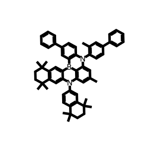 Cc1cc2c3c(c1)N(c1ccc(-c4ccccc4)cc1C)c1ccc(-c4ccccc4)cc1B3c1cc3c(cc1N2c1ccc2c(c1)C(C)(C)CCC2(C)C)C(C)(C)CCC3(C)C